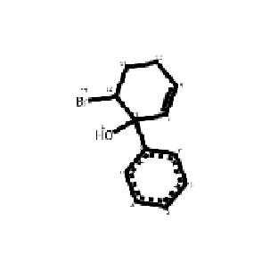 OC1(c2ccccc2)C=CCCC1Br